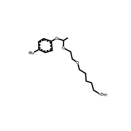 CCCCCCCCCCCCCCCOCCOC(C)Oc1ccc(C(C)CC)cc1